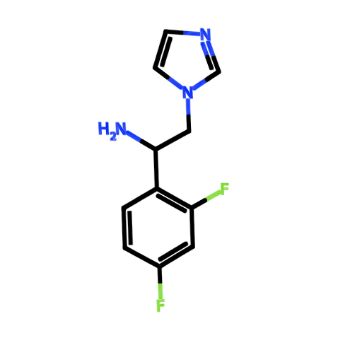 NC(Cn1ccnc1)c1ccc(F)cc1F